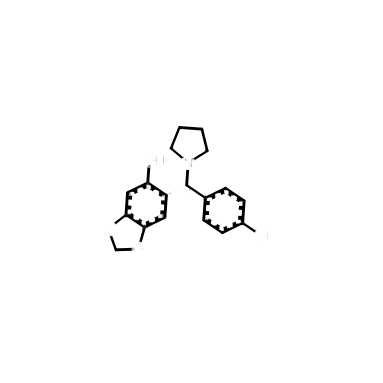 Oc1cc2c(cc1[C@@H](c1ccc(C(F)(F)F)cc1)N1CCCC1)OCO2